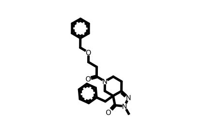 CN1N=C2CCN(C(=O)CCOCc3ccccc3)CC2(Cc2ccccc2)C1=O